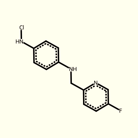 Fc1ccc(CNc2ccc(NCl)cc2)nc1